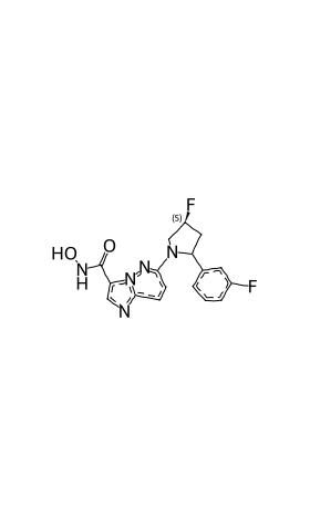 O=C(NO)c1cnc2ccc(N3C[C@@H](F)CC3c3cccc(F)c3)nn12